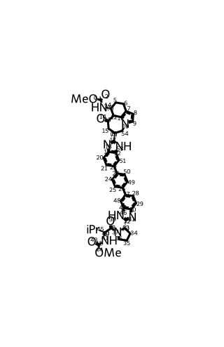 COC(=O)N[C@H]1CCc2ccn3c2C1C(=O)C[C@H](c1nc2ccc(-c4ccc(-c5ccc6nc([C@@H]7CCCN7C(=O)[C@@H](NC(=O)OC)C(C)C)[nH]c6c5)cc4)cc2[nH]1)C3